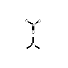 O=[N+]([O-])[O-].[CH3][Pt]([CH3])[CH3]